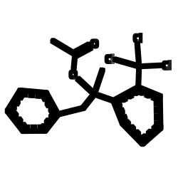 CC(=O)OC(C)(Cc1ccccc1)c1ccccc1C(Cl)(Cl)Cl